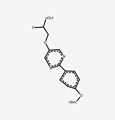 CCCCCCCCCCOc1ccc(-c2ncc(OCC(F)CCCCCCCC)cn2)cc1